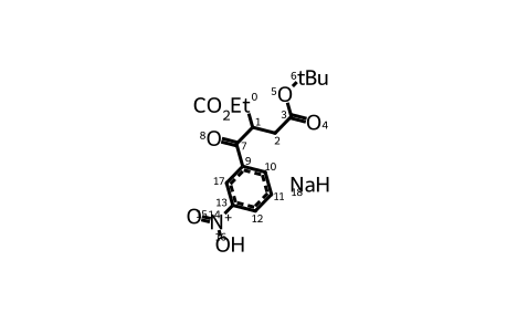 CCOC(=O)C(CC(=O)OC(C)(C)C)C(=O)c1cccc([N+](=O)O)c1.[NaH]